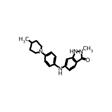 CC1CCN(c2ccc(Nc3ccc4c(=O)n(C)[nH]c4c3)cc2)CC1